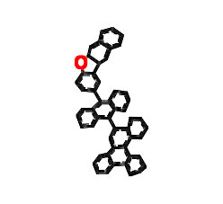 C1=c2ccccc2=CC2c3cc(-c4c5ccccc5c(-c5cc6c7ccccc7c7ccccc7c6c6ccccc56)c5ccccc45)ccc3OC12